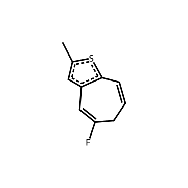 Cc1cc2c(s1)C=CCC(F)=C2